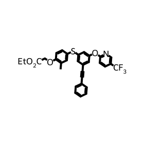 CCOC(=O)COc1ccc(Sc2cc(C#Cc3ccccc3)cc(Oc3ccc(C(F)(F)F)cn3)c2)cc1C